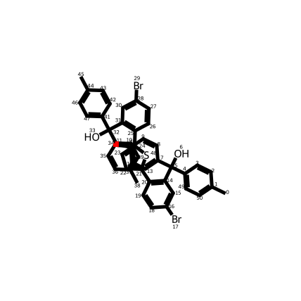 Cc1ccc(C(O)(c2ccc(C)cc2)c2cc(Br)ccc2-c2ccc(-c3ccc(Br)cc3C(O)(c3ccc(C)cc3)c3ccc(C)cc3)s2)cc1